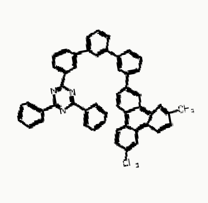 Cc1ccc2c3ccc(-c4cccc(-c5cccc(-c6cccc(-c7nc(-c8ccccc8)nc(-c8ccccc8)n7)c6)c5)c4)cc3c3cc(C)ccc3c2c1